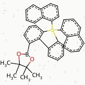 CC1(C)OB(c2cccc3c2-c2ccccc2S3(c2cccc3ccccc23)c2cccc3ccccc23)OC1(C)C